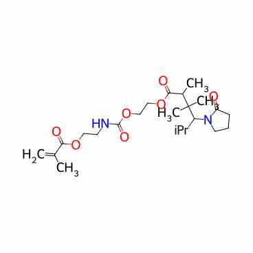 C=C(C)C(=O)OCCNC(=O)OCCOC(=O)C(C)C(C)(C)C(C(C)C)N1CCCC1=O